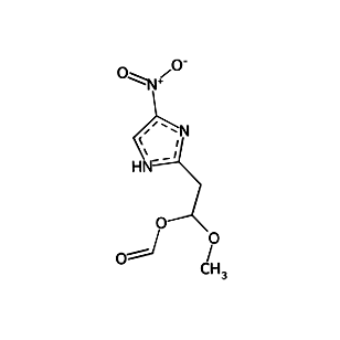 COC(Cc1nc([N+](=O)[O-])c[nH]1)OC=O